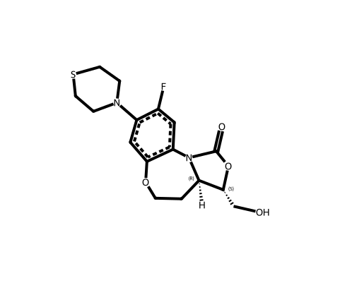 O=C1O[C@H](CO)[C@H]2CCOc3cc(N4CCSCC4)c(F)cc3N12